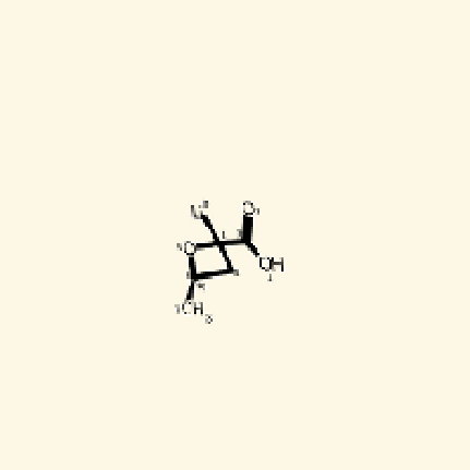 [Li][C]1(C(=O)O)C[C@@H](C)O1